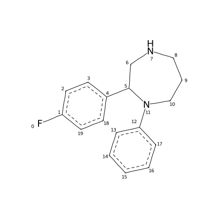 Fc1ccc(C2CNCCCN2c2ccccc2)cc1